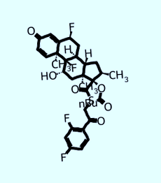 CCCCC(=O)O[C@]1(C(=O)SCC(=O)c2ccc(F)cc2F)[C@H](C)C[C@H]2[C@@H]3C[C@H](F)C4=CC(=O)C=C[C@]4(C)[C@@]3(F)[C@@H](O)C[C@@]21C